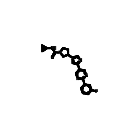 O=C(NC1CC1)N1CCC(n2cnc(-c3cnc(-c4cccc(F)c4)nc3)c2)C1